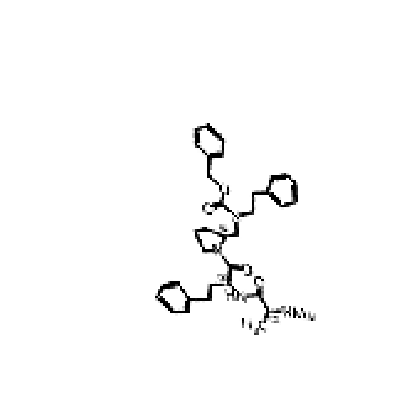 CN[C@@H](C)C(=O)N[C@@H](CCc1ccccc1)C(=O)N1CCC[C@H]1CN(CCc1ccccc1)C(=O)OCc1ccccc1